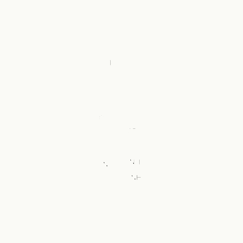 NNc1nccc(OCCc2c(F)cccc2Cl)c1C(F)(F)F